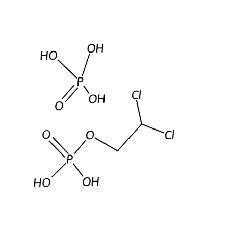 O=P(O)(O)O.O=P(O)(O)OCC(Cl)Cl